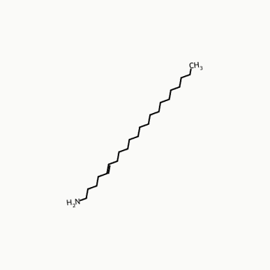 CCCCCCCCCCCCCCCCC=CCCCCN